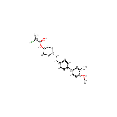 CCCC[C@H](F)C(=O)O[C@H]1CC[C@H](CCc2ccc(-c3ccc(OCC)c(C#N)c3)cc2)CC1